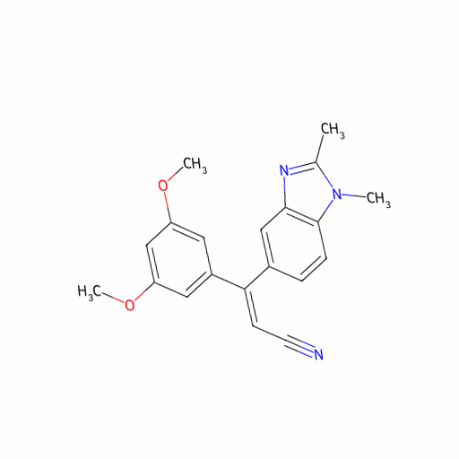 COc1cc(OC)cc(/C(=C/C#N)c2ccc3c(c2)nc(C)n3C)c1